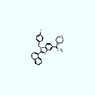 C=C(c1ccc2c(c1)nc(-c1cccc3ccccc13)n2Cc1ccc(Cl)cc1)N1CCOCC1